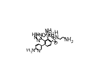 NCCNS(=O)(=O)c1ccc(-c2ccc(N)nc2)c(-c2nn[nH]n2)c1S(N)(=O)=O